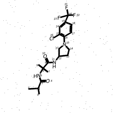 CC(C)C(=O)NC(C)(C)C(=O)NC1CCN(c2ccc(C(F)(F)F)cc2Cl)C1